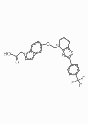 O=C(O)Cn1ccc2cc(OC[C@H]3CCCc4sc(-c5ccc(C(F)(F)F)cc5)nc43)ccc21